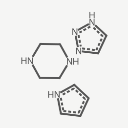 C1CNCCN1.c1c[nH]nn1.c1cc[nH]c1